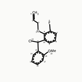 C=CCOc1c(F)cccc1C(Cl)c1ccccc1OC